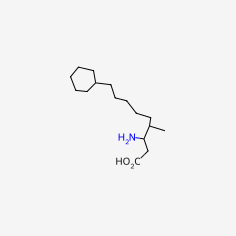 CC(CCCCCC1CCCCC1)C(N)CC(=O)O